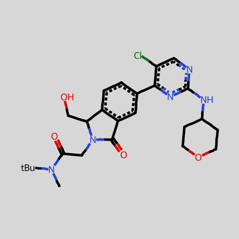 CN(C(=O)CN1C(=O)c2cc(-c3nc(NC4CCOCC4)ncc3Cl)ccc2C1CO)C(C)(C)C